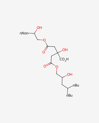 CCCCCCCCCC(O)COC(=O)CC(O)(CC(=O)OCC(O)CC(CCCC)CCCC)C(=O)O